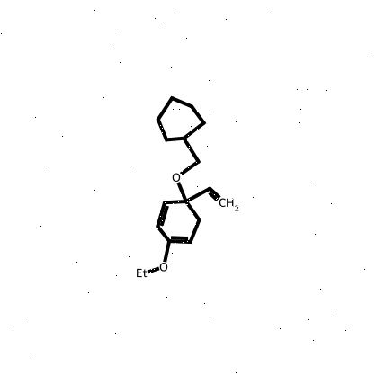 C=CC1(OCC2CCCCC2)C=CC(OCC)=CC1